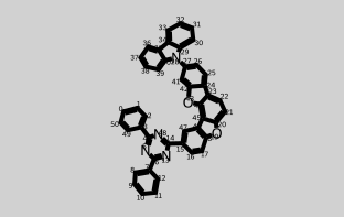 c1ccc(-c2nc(-c3ccccc3)nc(-c3ccc4oc5ccc6c7ccc(-n8c9ccccc9c9ccccc98)cc7oc6c5c4c3)n2)cc1